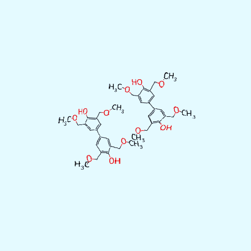 COCc1cc(-c2cc(COC)c(O)c(COC)c2)cc(COC)c1O.COCc1cc(-c2cc(COC)c(O)c(COC)c2)cc(COC)c1O